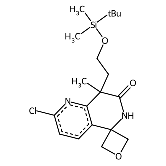 CC1(CCO[Si](C)(C)C(C)(C)C)C(=O)NC2(COC2)c2ccc(Cl)nc21